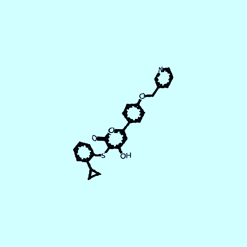 O=c1oc(-c2ccc(OCc3cccnc3)cc2)cc(O)c1Sc1ccccc1C1CC1